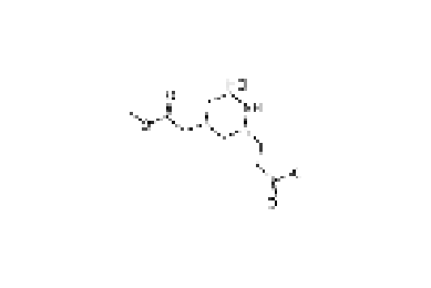 COC(=O)CC1CCNC(CCC(=O)Cl)C1.Cl